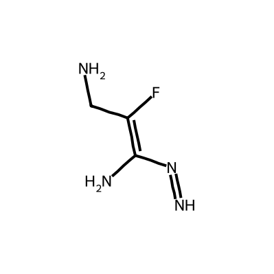 N=N/C(N)=C(\F)CN